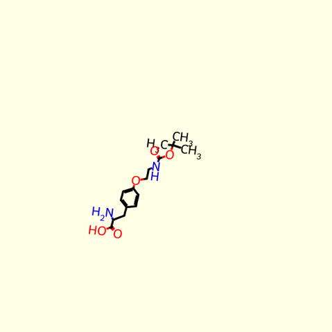 CC(C)(C)OC(=O)NCCOc1ccc(CC(N)C(=O)O)cc1